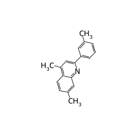 Cc1cccc(-c2cc(C)c3ccc(C)cc3n2)c1